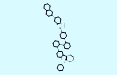 C1=Cc2c(n(-c3ccccc3)c3ccc(-c4ccccc4-c4ccccc4-c4ccc(-c5nc6ccc(-c7ccc8ccccc8c7)cc6o5)cc4)cc23)CC1